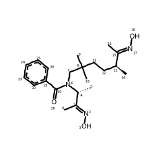 C/C(=N\O)[C@@H](C)N(CC(C)(C)CC[C@H](C)/C(C)=N/O)C(=O)c1ccccc1